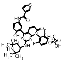 CS(=O)(=O)O.Cc1ccc(NC(=O)c2ccsc2)cc1-c1nc(NC2CC(C)(C)NC(C)(C)C2)nc2c1ccc(=O)n2-c1c(F)cccc1F